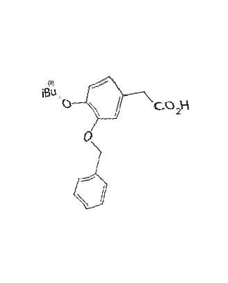 CC[C@@H](C)Oc1ccc(CC(=O)O)cc1OCc1ccccc1